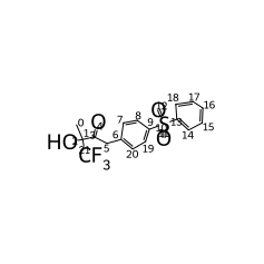 CC(O)(C(=O)Cc1ccc(S(=O)(=O)c2ccccc2)cc1)C(F)(F)F